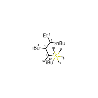 CCCCC(CC)C(C(C)CC)C(C)S(C)(C)(C)(C)C(C)CC